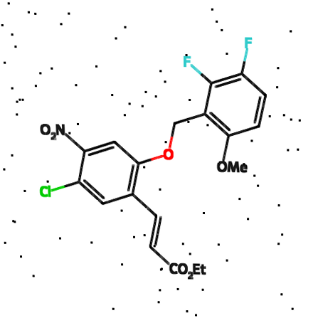 CCOC(=O)C=Cc1cc(Cl)c([N+](=O)[O-])cc1OCc1c(OC)ccc(F)c1F